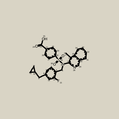 Cc1c(N(Cc2ccc(CC3CC3)cc2F)S(=O)(=O)c2ccc(C(=O)O)cc2)ncc2ccccc12